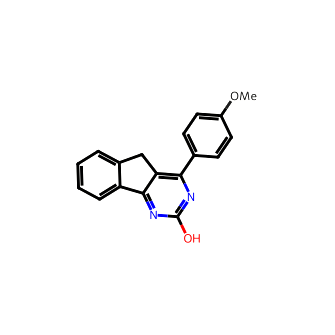 COc1ccc(-c2nc(O)nc3c2Cc2ccccc2-3)cc1